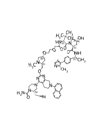 Cc1ncsc1-c1ccc([C@H](C)NC(=O)[C@@H]2C[C@@H](O)CN2C(=O)[C@@H](NC(=O)COCCO[C@@H]2C[C@@H](COc3nc4c(c(N5CCN(C(N)=O)[C@@H](CC#N)C5)n3)CCN(c3cccc5ccccc35)C4)N(C)C2)C(C)(C)C)cc1